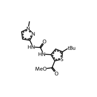 COC(=O)c1sc(C(C)(C)C)cc1NC(=O)Nc1ccn(C)n1